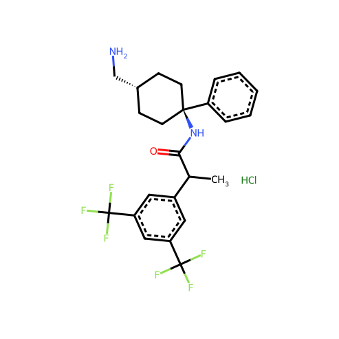 CC(C(=O)N[C@]1(c2ccccc2)CC[C@@H](CN)CC1)c1cc(C(F)(F)F)cc(C(F)(F)F)c1.Cl